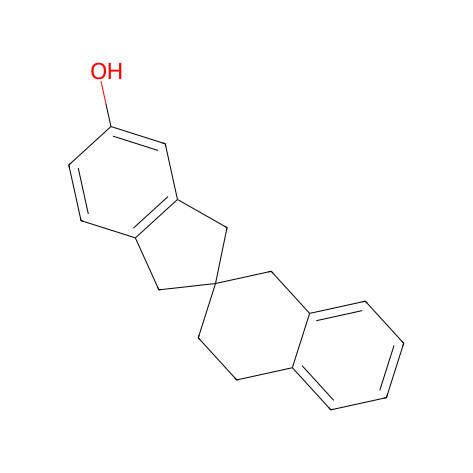 Oc1ccc2c(c1)CC1(CCc3ccccc3C1)C2